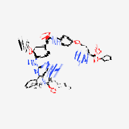 CC[C@H]1Nc2nc(Nc3ccc(C(=O)NCc4ccc(OCC[C@H](N)C(=O)OC5CCCC5)cc4)cc3OC)nc(C3CCCC3)c2N(C)C1=O